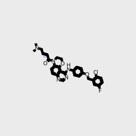 CN(C)C/C=C/C(=O)N1CCOc2c1ccc1ncnc(Nc3ccc(OCc4cc(F)ccc4Cl)cc3)c21